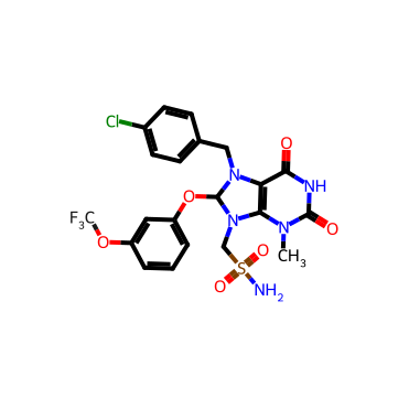 Cn1c2c(c(=O)[nH]c1=O)N(Cc1ccc(Cl)cc1)C(Oc1cccc(OC(F)(F)F)c1)N2CS(N)(=O)=O